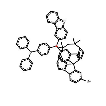 CC(C)(C)c1ccc2c(c1)C13c4ccc(N(c5ccc(N(c6ccccc6)c6ccccc6)cc5)c5ccc6oc7ccccc7c6c5)cc4-c4ccc(cc41)C(C)(C)CC(C)(C)c1ccc-2c3c1